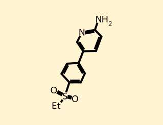 CCS(=O)(=O)c1ccc(-c2ccc(N)nc2)cc1